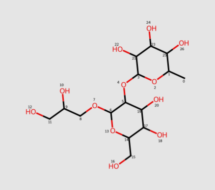 CC1OC(OC2C(OCC(O)CO)OC(CO)C(O)C2O)C(O)C(O)C1O